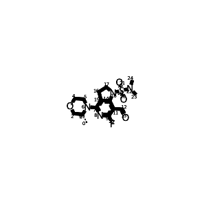 C[C@@H]1COCCN1c1nc(F)c(C=O)c2c1CCN2S(=O)(=O)N(C)C